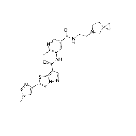 Cc1ncc(C(=O)NCCN2CCC3(CC3)C2)cc1NC(=O)c1cnn2cc(-c3cn(C)cn3)sc12